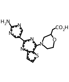 Nc1ncc(-c2nc(N3CCOC(CC(=O)O)C3)c3sccc3n2)cn1